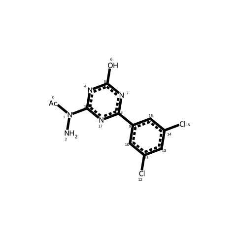 CC(=O)N(N)c1nc(O)nc(-c2cc(Cl)cc(Cl)c2)n1